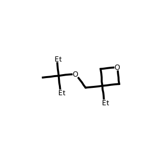 CCC1(COC(C)(CC)CC)COC1